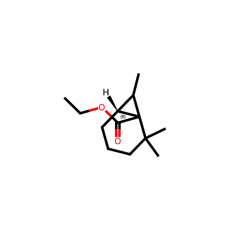 CCOC(=O)C12C(C)[C@H]1CCCC2(C)C